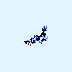 CC(C)CC(=O)N1CCN(c2ccc(-c3cc(-c4cnn(C)c4)cc4ncc(C#N)n34)cn2)CC1